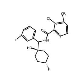 O=C(NC(c1cccc(F)c1)[C@]1(O)CC[C@H](F)CC1)c1nccc(C(F)(F)F)c1Cl